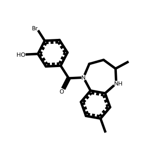 Cc1ccc2c(c1)NC(C)CCN2C(=O)c1ccc(Br)c(O)c1